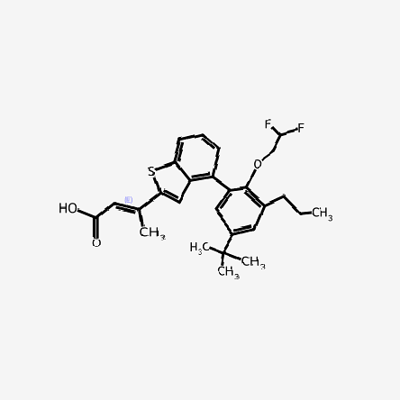 CCCc1cc(C(C)(C)C)cc(-c2cccc3sc(/C(C)=C/C(=O)O)cc23)c1OCC(F)F